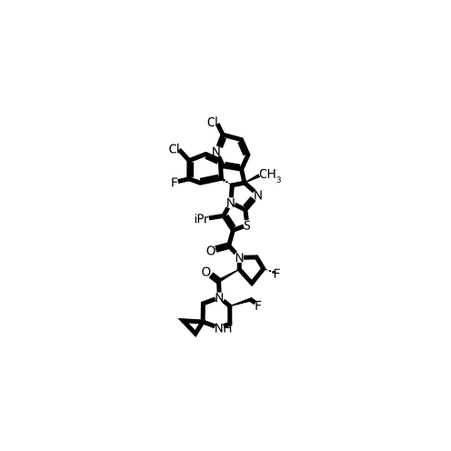 CC(C)C1=C(C(=O)N2C[C@H](F)C[C@H]2C(=O)N2CC3(CC3)NC[C@@H]2CF)SC2=N[C@@](C)(c3ccc(Cl)nc3)[C@@H](c3ccc(Cl)c(F)c3)N21